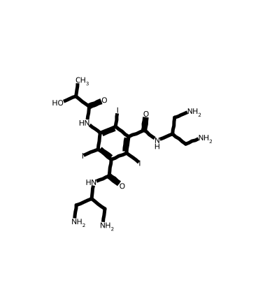 CC(O)C(=O)Nc1c(I)c(C(=O)NC(CN)CN)c(I)c(C(=O)NC(CN)CN)c1I